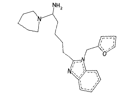 NC(CCCCc1nc2ccccc2n1Cc1ccco1)N1CCCCC1